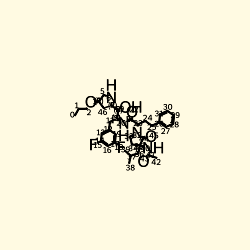 CCCO[C@H]1CN[C@@H]([C@@H](O)[C@H](Cc2cc(F)cc(F)c2)NC(=O)C(CCc2ccccc2)N2CCC(CC(C)C)(NC(C)=O)C2=O)C1